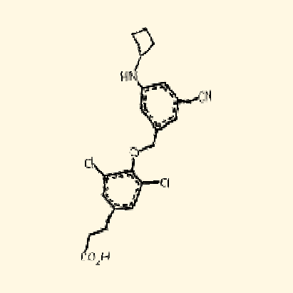 N#Cc1cc(COc2c(Cl)cc(CCC(=O)O)cc2Cl)cc(NC2CCC2)c1